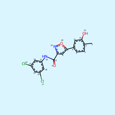 Cc1ccc(-c2cc(C(=O)Nc3cc(Cl)cc(Cl)c3)no2)cc1O